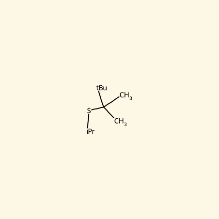 CC(C)SC(C)(C)C(C)(C)C